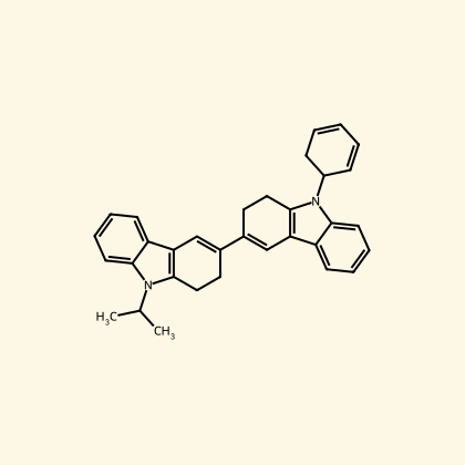 CC(C)n1c2c(c3ccccc31)C=C(C1=Cc3c(n(C4C=CC=CC4)c4ccccc34)CC1)CC2